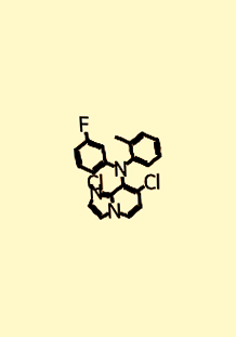 Cc1ccccc1N(c1cc(F)ccc1Cl)c1c(Cl)ccn2ccnc12